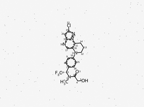 CN(C(=O)CO)[C@@H](c1ccc(N2CCCc3c2cnc2cc(Cl)nn32)cc1)C(F)(F)F